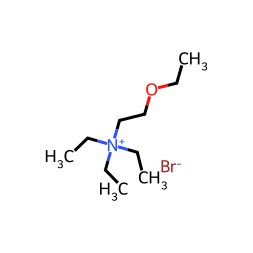 CCOCC[N+](CC)(CC)CC.[Br-]